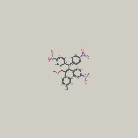 COC/C(=C(\B(c1ccc([N+](=O)[O-])cc1)c1ccc([N+](=O)[O-])cc1)c1ccc([N+](=O)[O-])cc1)c1ccc(C)cc1